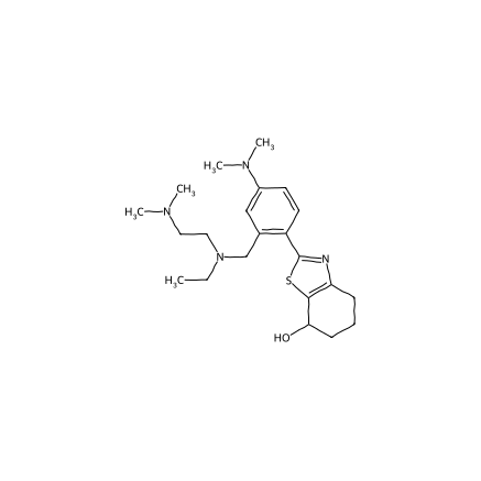 CCN(CCN(C)C)Cc1cc(N(C)C)ccc1-c1nc2c(s1)C(O)CCC2